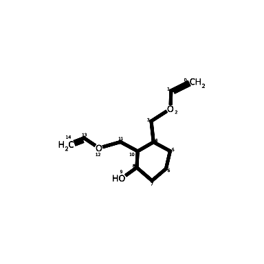 C=COCC1CCCC(O)C1COC=C